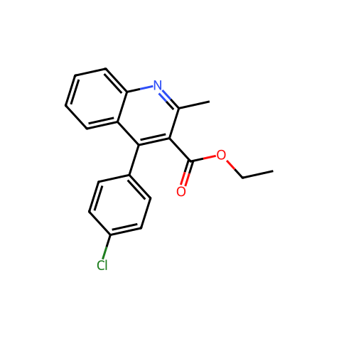 CCOC(=O)c1c(C)nc2ccccc2c1-c1ccc(Cl)cc1